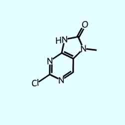 Cn1c(=O)[nH]c2nc(Cl)ncc21